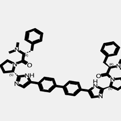 CN(C)[C@H](Cc1ccccc1)C(=O)N1CCC[C@H]1c1ncc(-c2ccc(-c3ccc(-c4cnc([C@@H]5CCCN5C(=O)[C@@H](Cc5ccccc5)N(C)C)[nH]4)cc3)cc2)[nH]1